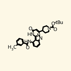 Cc1cccc(C(=O)Nc2cccc3nn4c(C5CCN(C(=O)OC(C)(C)C)CC5)cc(=O)[nH]c4c23)c1